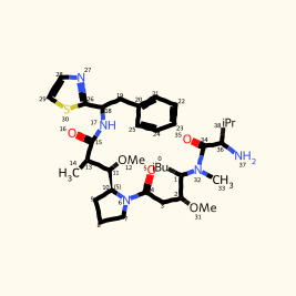 CCC(C)C(C(CC(=O)N1CCC[C@H]1C(OC)C(C)C(=O)NC(Cc1ccccc1)c1nccs1)OC)N(C)C(=O)C(N)C(C)C